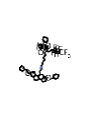 C[C@H]1[C@@H](c2ccccc2)N(C(=O)[C@H](CCCCCC/C=C/CC2=C3c4ccc(OCc5ccccc5)cc4CCC3C3CC[C@H](OCc4ccccc4)[C@@]3(C)C2)CCC(F)(F)C(F)(F)C(F)(F)C(F)(F)F)C(=O)N1C